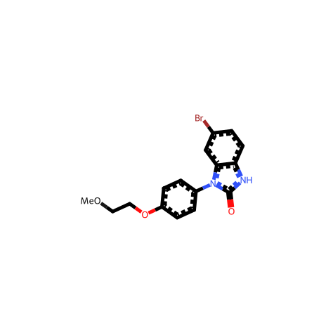 COCCOc1ccc(-n2c(=O)[nH]c3ccc(Br)cc32)cc1